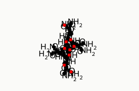 COC(=O)c1cc(Nc2nc(Nc3cccc(S(=O)(=O)N(CCC(N)=O)CCC(N)=O)c3)nc(Nc3cccc(S(=O)(=O)N(CCC(N)=O)CCC(N)=O)c3)n2)ccc1-c1ccc(Nc2nc(Nc3cccc(S(=O)(=O)N(CCC(N)=O)CCC(N)=O)c3)nc(Nc3cccc(S(=O)(=O)N(CCC(N)=O)CCC(N)=O)c3)n2)cc1C(=O)OC